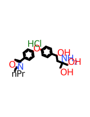 CCCc1nc(-c2ccc(Oc3ccc(C(O)CC(N)(CO)CO)cc3)cc2)co1.Cl